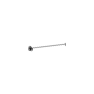 CO[Si](CCCCCCCCCCCCCCCCCCCCCCCCCCCCCCCCCI)(OC)OC